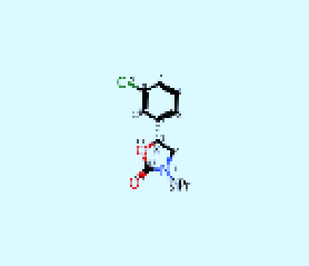 [CH2][C@H](C)N1C[C@@H](c2cccc(Cl)c2)OC1=O